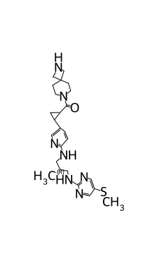 CSc1cnc(NC[C@H](C)CNc2ccc(C3CC3C(=O)N3CCC4(CC3)CNC4)cn2)nc1